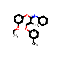 CCOc1cccc(O/C(=N/c2ccccc2)C(C)=COc2cccc(C)c2)c1